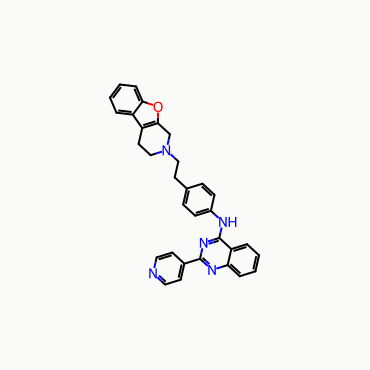 c1ccc2c(Nc3ccc(CCN4CCc5c(oc6ccccc56)C4)cc3)nc(-c3ccncc3)nc2c1